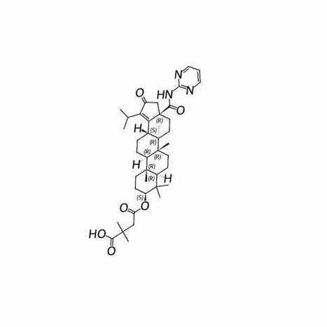 CC(C)C1=C2[C@H]3CC[C@@H]4[C@@]5(C)CC[C@H](OC(=O)CC(C)(C)C(=O)O)C(C)(C)[C@@H]5CC[C@@]4(C)[C@]3(C)CC[C@@]2(C(=O)Nc2ncccn2)CC1=O